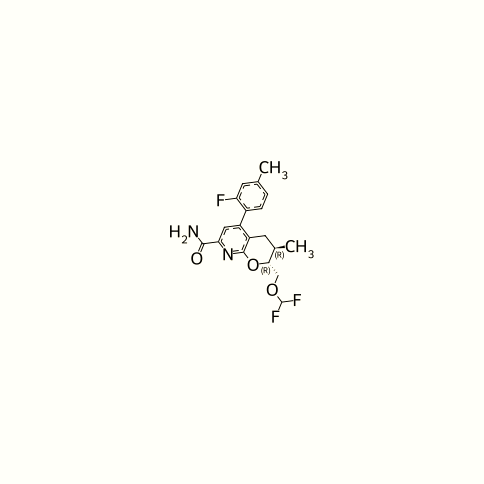 Cc1ccc(-c2cc(C(N)=O)nc3c2C[C@@H](C)[C@H](COC(F)F)O3)c(F)c1